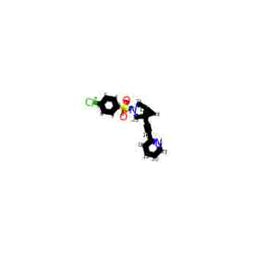 O=S(=O)(c1ccc(Cl)cc1)N1CC2CC2(C#Cc2ccccn2)C1